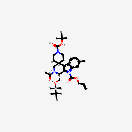 C=CCOC(=O)n1c2c(c3ccc(C)cc31)C1(CCN(C(=O)OC(C)(C)C)CC1)CN(C(C)=O)[C@H]2CO[Si](C)(C)C(C)(C)C